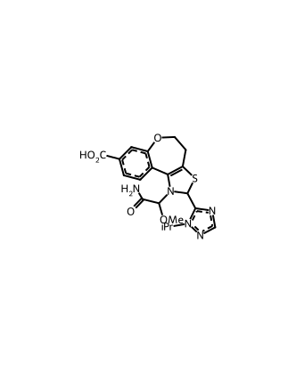 COC(C(N)=O)N1C2=C(CCOc3cc(C(=O)O)ccc32)SC1c1ncnn1C(C)C